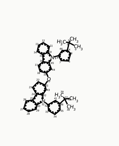 CC(C)(C)c1cccc(-n2c3ccccc3c3ccc(Oc4ccc5c6ccccc6n(-c6cccc(C(C)(C)C)c6)c5c4)cc32)c1